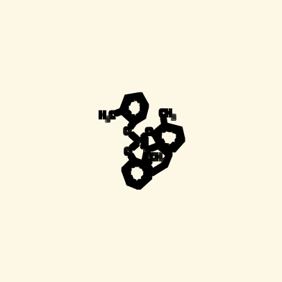 Cc1ccccc1O[PH](Oc1ccccc1C)(Oc1ccccc1C)N1CCCCC1